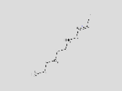 CCCOCCNC/C=C/I